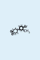 Cc1cc(C2CCS(=O)(=O)CC2)ccc1Br